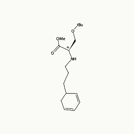 COC(=O)[C@@H](COC(C)(C)C)NCCCC1C=CC=CC1